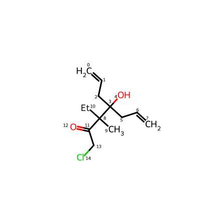 C=CCC(O)(CC=C)C(C)(CC)C(=O)CCl